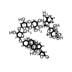 C[C@H]1O[C@@H](O[C@H]2[C@@H](O)C[C@H](O[C@H]3[C@@H](O)C[C@H](O[C@H]4CC[C@@]5(C)[C@H](CC[C@@H]6[C@@H]5C[C@@H](O)[C@]5(C)[C@@H](C7=CC(=O)OC7)CC[C@]65O)C4)O[C@@H]3C)O[C@@H]2C)C[C@H](O)[C@@H]1O.Nc1ncnc2c1ncn2[C@@H]1O[C@@H]2COP(=O)(O)O[C@H]2[C@H]1O